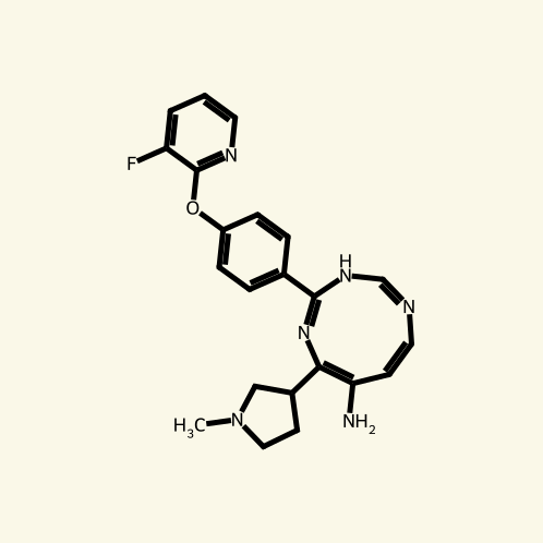 CN1CCC(c2nc(-c3ccc(Oc4ncccc4F)cc3)[nH]cnccc2N)C1